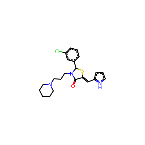 O=C1C(=Cc2ccc[nH]2)SC(c2cccc(Cl)c2)N1CCCN1CCCCC1